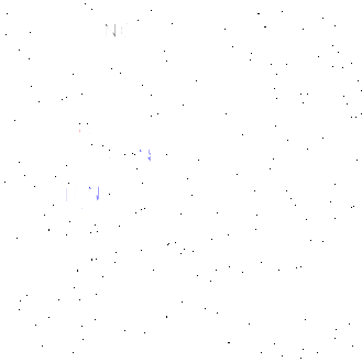 N#Cc1cccc(N(C(N)=O)c2ccc(C3CCCCC3)cc2)c1